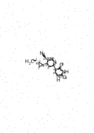 C=C[C@H]1C[C@@H]1c1cc(-c2c[nH]c(=O)[nH]c2=O)nnc1C#N